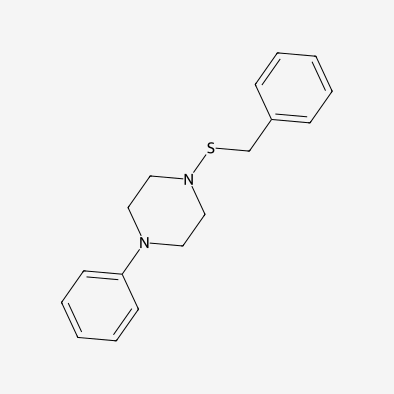 c1ccc(CSN2CCN(c3ccccc3)CC2)cc1